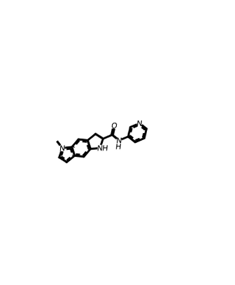 Cn1ccc2cc3c(cc21)CC(C(=O)Nc1cccnc1)N3